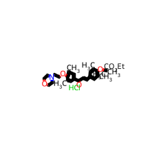 CCOC(=O)C(C)(C)Oc1c(C)cc(C=CC(=O)c2cc(C)c(OCCN3CCOCC3)c(C)c2)cc1C.Cl